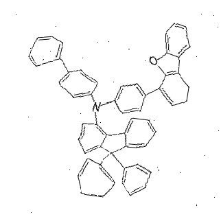 C1=CC(C2(c3ccccc3)c3ccccc3-c3c(N(c4ccc(C5=CCCc6c5oc5ccccc65)cc4)c4ccc(-c5ccccc5)cc4)cccc32)=CCC1